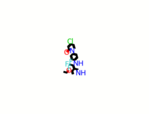 C=C(OCC)/C(C=N)=C(/Nc1ccc(-n2ccc(Cl)cc2=O)cc1)C(F)(F)F